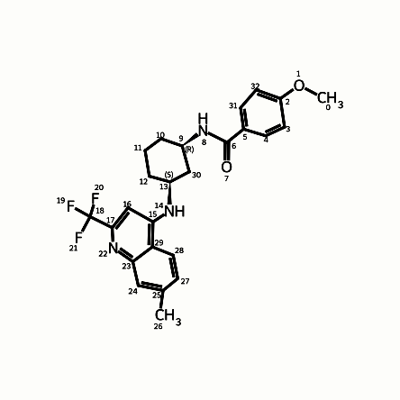 COc1ccc(C(=O)N[C@@H]2CCC[C@H](Nc3cc(C(F)(F)F)nc4cc(C)ccc34)C2)cc1